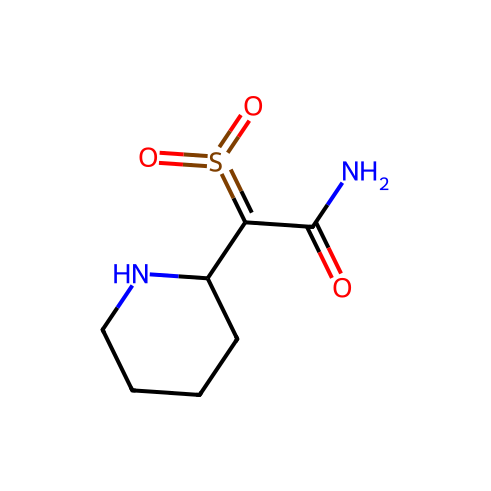 NC(=O)C(C1CCCCN1)=S(=O)=O